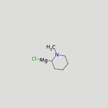 CN1CCCC[CH]1[Mg][Cl]